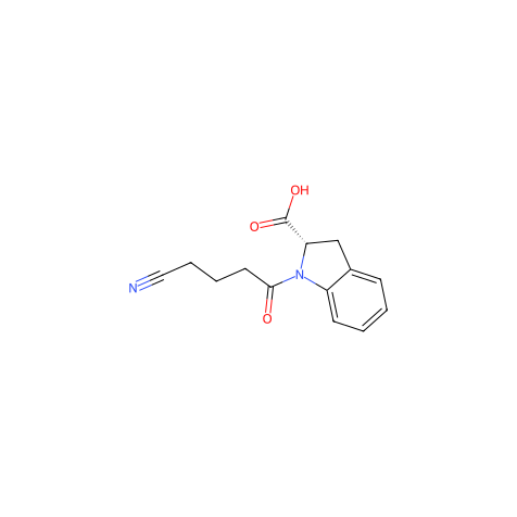 N#CCCCC(=O)N1c2ccccc2C[C@H]1C(=O)O